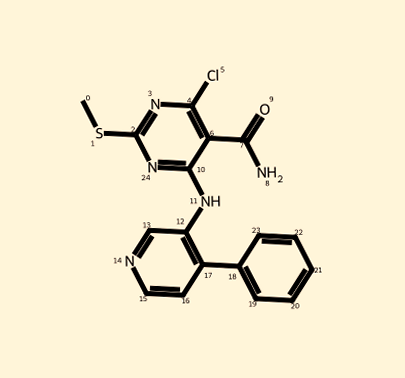 CSc1nc(Cl)c(C(N)=O)c(Nc2cnccc2-c2ccccc2)n1